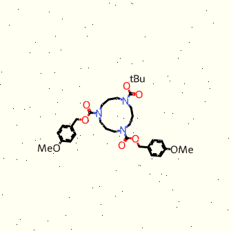 COc1ccc(COC(=O)N2CCCN(C(=O)OCc3ccc(OC)cc3)CCCN(C(=O)OC(C)(C)C)CCC2)cc1